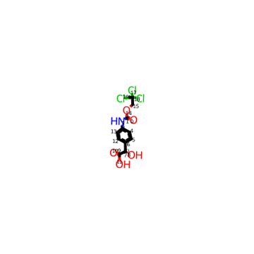 O=C(Nc1ccc([C@H](O)C(=O)O)cc1)OCC(Cl)(Cl)Cl